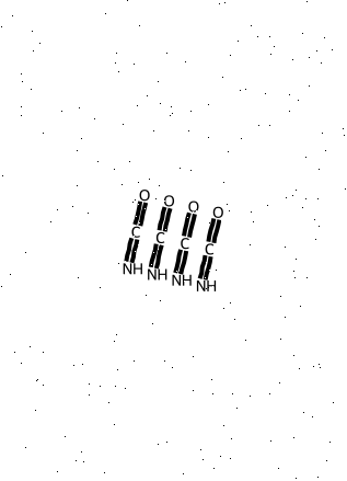 N=C=O.N=C=O.N=C=O.N=C=O